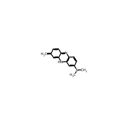 C=c1ccc2c(c1)Nc1cc(N(C)C)ccc1N=2